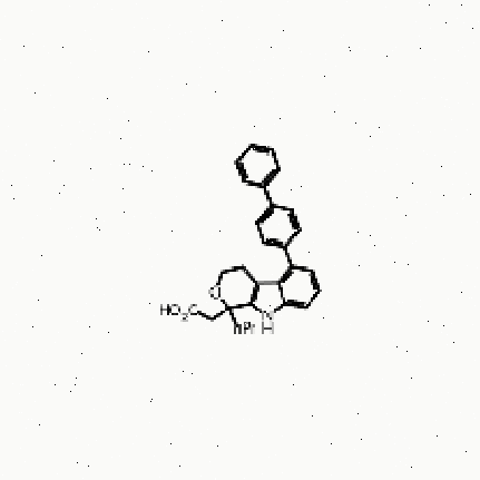 CCCC1(CC(=O)O)OCCc2c1[nH]c1cccc(-c3ccc(-c4ccccc4)cc3)c21